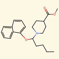 C[CH]CCC(Oc1cccc2ccccc12)N1CCC(C(=O)OC)CC1